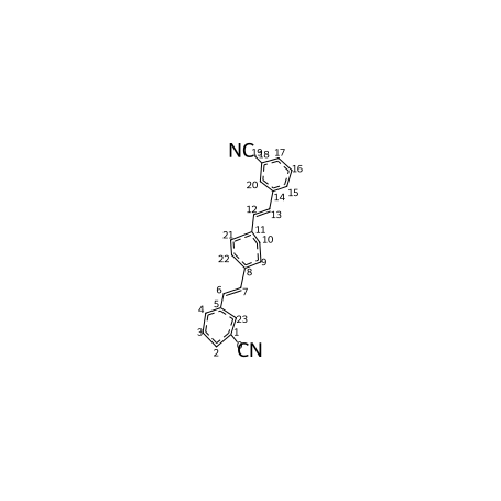 N#Cc1cccc(C=Cc2ccc(C=Cc3cccc(C#N)c3)cc2)c1